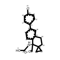 O=C[C@@]1(NC(=O)O)c2ccc(-c3ccc(Cl)cc3)cc2CCC12CC2